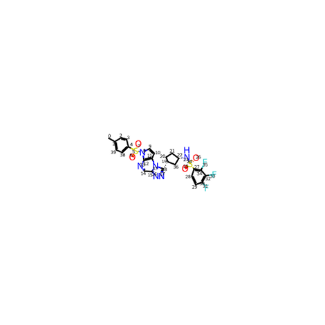 Cc1ccc(S(=O)(=O)n2ccc3c2ncc2nnc([C@@H]4CC[C@H](NS(=O)(=O)c5ccc(F)c(F)c5F)C4)n23)cc1